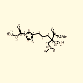 COC(=O)C(CCCc1cn(C(=O)OC(C)(C)C)cn1)(CN(C)C)C(=O)O